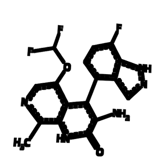 Cc1ncc(OC(F)F)c2c(-c3ccc(F)c4[nH]ncc34)c(N)c(=O)[nH]c12